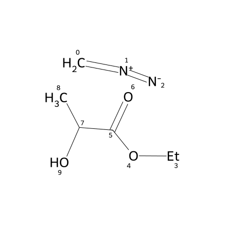 C=[N+]=[N-].CCOC(=O)C(C)O